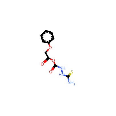 NC(=S)NNC(=O)OC(=O)COc1ccccc1